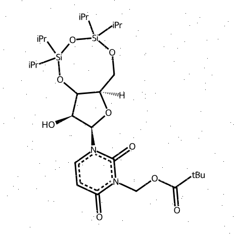 CC(C)[Si]1(C(C)C)OC[C@H]2O[C@@H](n3ccc(=O)n(COC(=O)C(C)(C)C)c3=O)[C@@H](O)C2O[Si](C(C)C)(C(C)C)O1